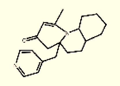 CC1=CC(=O)CC2(Cc3ccncc3)CCC3CCCCC3N12